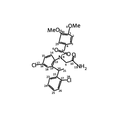 COc1ccc(S(=O)(=O)N(CC(N)=O)c2ccc(Cl)cc2C(C)c2ccccc2Cl)cc1OC